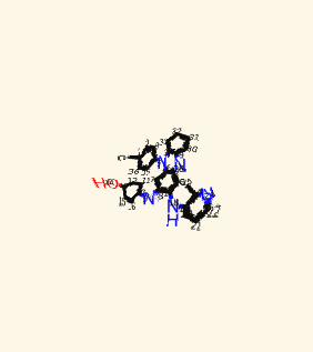 Cc1ccc(-n2c3c/c(=N\C4CCC(O)CC4)c(Nc4cccnc4C)cc-3nc3ccccc32)cc1